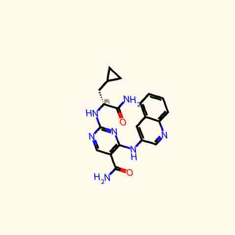 NC(=O)c1cnc(N[C@H](CC2CC2)C(N)=O)nc1Nc1cnc2ccccc2c1